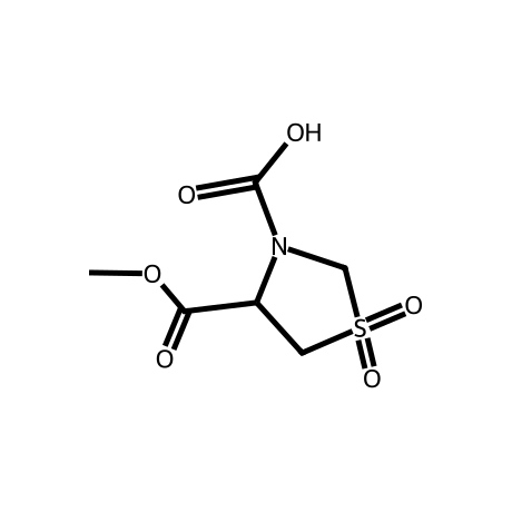 COC(=O)C1CS(=O)(=O)CN1C(=O)O